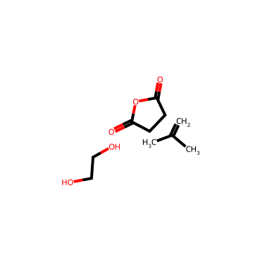 C=C(C)C.O=C1CCC(=O)O1.OCCO